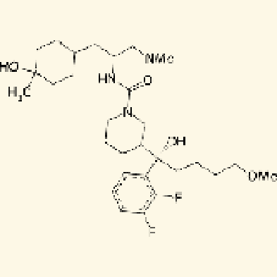 CNCC(CC1CCC(C)(O)CC1)NC(=O)N1CCCC([C@@](O)(CCCCOC)c2cccc(F)c2F)C1